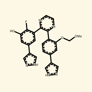 COCOc1cc(-c2cn[nH]c2)ccc1-c1nccnc1-c1cc(-c2cn[nH]c2)cc(O)c1F